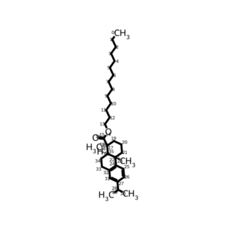 CCCCCCCCCCCCCCOC(=O)[C@@]1(C)CCC[C@]2(C)c3ccc(C(C)C)cc3CC[C@@H]12